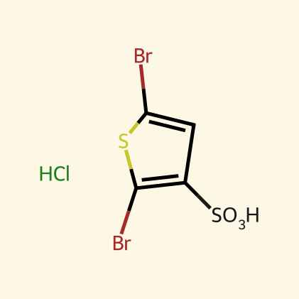 Cl.O=S(=O)(O)c1cc(Br)sc1Br